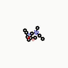 c1ccc(-c2ccc(-c3nc(-c4ccccc4)nc(-c4ccc(-n5c6ccccc6c6cc7ccccc7cc65)c(-c5cc6ccccc6c6oc7ccccc7c56)c4)n3)cc2)cc1